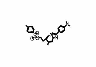 Cc1ccc(S(=O)(=O)OCCc2cn3cc(-c4ccc(N(C)C)cc4)nc3cc2C)cc1